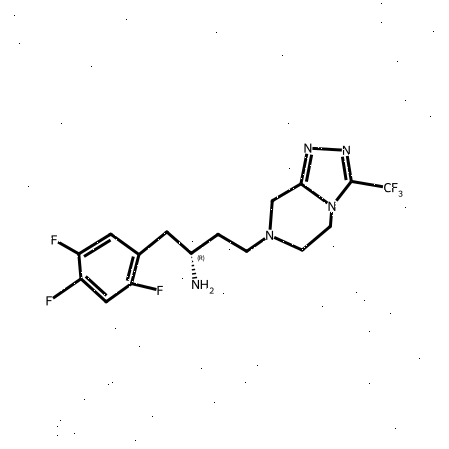 N[C@@H](CCN1CCn2c(nnc2C(F)(F)F)C1)Cc1cc(F)c(F)cc1F